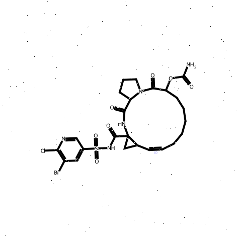 NC(=O)OC1CCCCC/C=C\C2CC2(C(=O)NS(=O)(=O)c2cnc(Cl)c(Br)c2)NC(=O)C2CCCN2C1=O